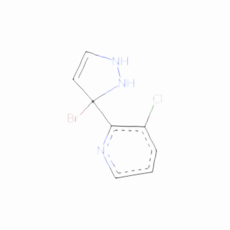 Clc1cccnc1C1(Br)C=CNN1